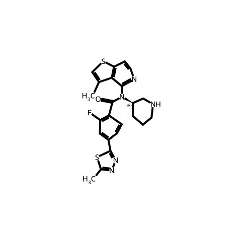 Cc1nnc(-c2ccc(C(=O)N(c3nccc4scc(C)c34)[C@@H]3CCCNC3)c(F)c2)s1